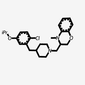 CC(C)Oc1ccc(Cl)c(CC2CCN(CC3COc4ccccc4N3C)CC2)c1